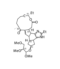 CCc1nc2c([nH]1)C1C[C@@H](OC(OC)[C@H](COC)OC)C[C@H]1C1C=C3C(=O)[C@H](C)CCCC[C@H](CC)OC(=O)C[C@H]3C21